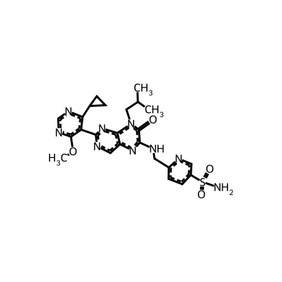 COc1ncnc(C2CC2)c1-c1ncc2nc(NCc3ccc(S(N)(=O)=O)cn3)c(=O)n(CC(C)C)c2n1